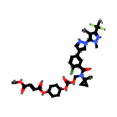 Cn1nc(C(F)(F)C(F)(F)F)c(C(F)(F)F)c1-n1cc(-c2ccc(Cl)c(C(=O)N(COC(=O)O[C@H]3CC[C@H](OC(=O)/C=C/C(=O)OC(C)(C)C)CC3)C3(C#N)CC3)c2)cn1